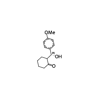 COc1ccc([C@H](O)C2CCCCC2=O)cc1